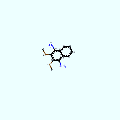 CSc1c(SC)c(N)c2ccccc2c1N